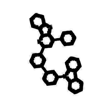 c1ccc(-c2cc(-c3cccc(-c4cccc(-n5c6ccccc6c6ccccc65)c4)c3)nc3c2sc2ccccc23)cc1